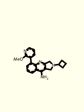 COc1ncccc1-c1cccc2c(N)c3c(nc12)CN(C1CCC1)C3